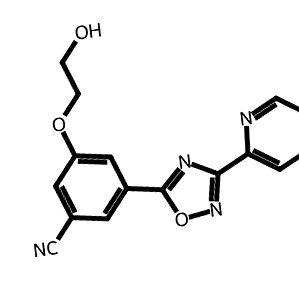 N#Cc1cc(OCCO)cc(-c2nc(-c3ccccn3)no2)c1